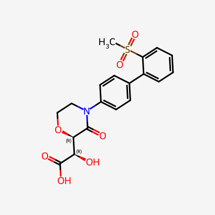 CS(=O)(=O)c1ccccc1-c1ccc(N2CCO[C@H]([C@@H](O)C(=O)O)C2=O)cc1